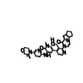 C[C@H]1COCCN1c1ccc(Nc2cc(-c3ccnc(-n4ccn5c6c(cc5c4=O)CCC6)c3CO)cn(C)c2=O)nc1